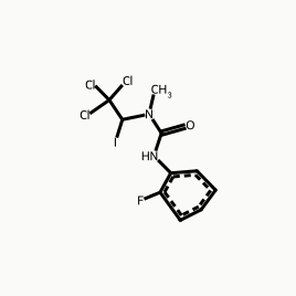 CN(C(=O)Nc1ccccc1F)C(I)C(Cl)(Cl)Cl